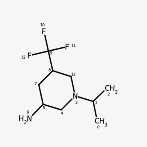 CC(C)N1CC(N)CC(C(F)(F)F)C1